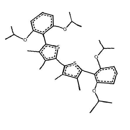 Cc1c(-c2sc(-c3c(OC(C)C)cccc3OC(C)C)c(C)c2C)sc(-c2c(OC(C)C)cccc2OC(C)C)c1C